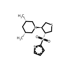 C[C@@H]1C[C@H](C)CN([C@H]2CSC[C@@H]2S(=O)(=O)c2cccs2)C1